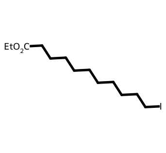 CCOC(=O)CCCCCCCCCCI